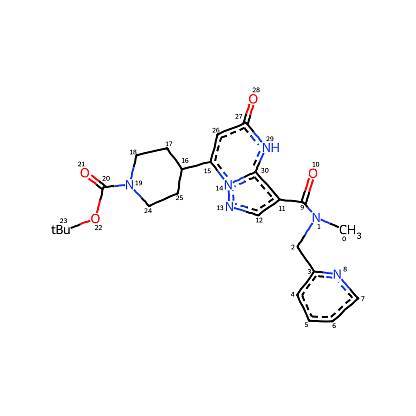 CN(Cc1ccccn1)C(=O)c1cnn2c(C3CCN(C(=O)OC(C)(C)C)CC3)cc(=O)[nH]c12